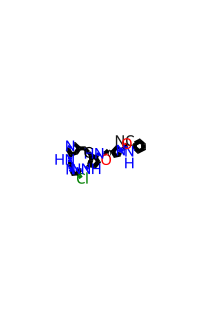 N#Cc1ccccc1NC(=O)N1CC[C@H](CC(=O)Nc2ccc3cc2CCc2cncc(c2)Nc2ncc(Cl)c(n2)N3)C1